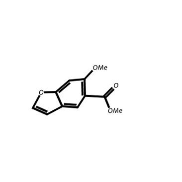 COC(=O)c1cc2ccoc2cc1OC